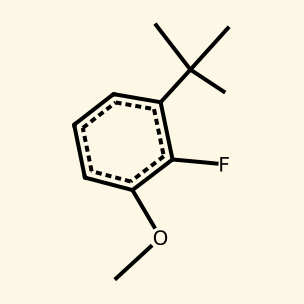 COc1cccc(C(C)(C)C)c1F